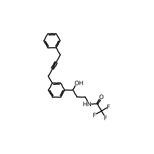 O=C(NCCC(O)c1cccc(CC#CCc2ccccc2)c1)C(F)(F)F